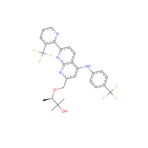 C[C@@H](OCc1cc(Nc2ccc(C(F)(F)F)cc2)c2ccc(-c3ncccc3C(F)(F)F)nc2n1)C(C)(C)O